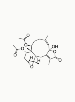 CC(=O)O[C@H]1CC/C(C)=C\C2(O)OC(=O)C(C)=C2C[C@H]2[C@]3(C)O[C@@H]3C[C@H](OC(C)=O)[C@]12C